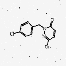 O=c1ccc(Br)nn1Cc1ccc(Cl)cc1